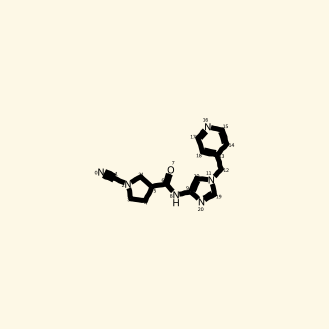 N#CN1CCC(C(=O)Nc2cn(Cc3ccncc3)cn2)C1